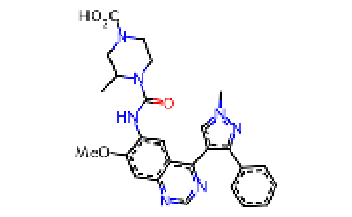 COc1cc2ncnc(-c3cn(C)nc3-c3ccccc3)c2cc1NC(=O)N1CCN(C(=O)O)CC1C